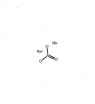 O=[N+]([O-])[O-].[Na+].[Nb]